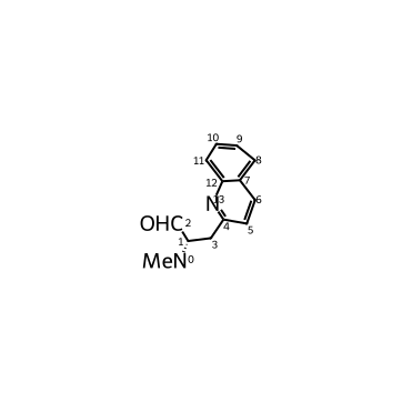 CN[C@H](C=O)Cc1ccc2ccccc2n1